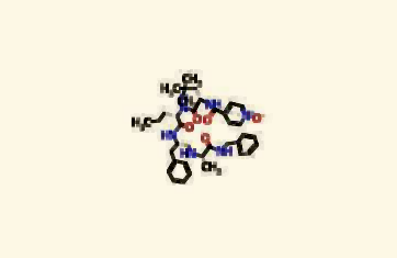 CCC[C@H](NC(=O)[C@H](CC(C)(C)C)NC(=O)c1cc[n+]([O-])cc1)C(=O)N[C@H](CN[C@@H](C)C(=O)NCc1ccccc1)Cc1ccccc1